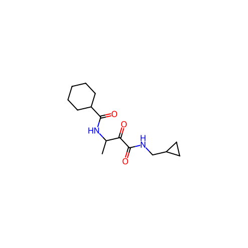 CC(NC(=O)C1CCCCC1)C(=O)C(=O)NCC1CC1